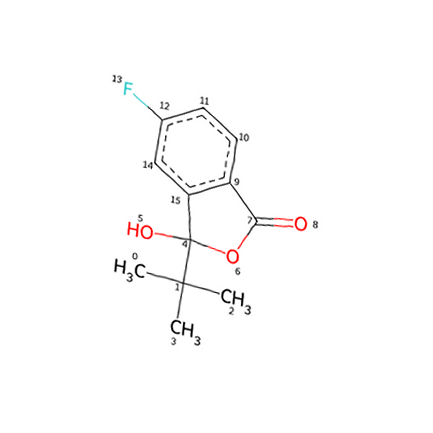 CC(C)(C)C1(O)OC(=O)c2ccc(F)cc21